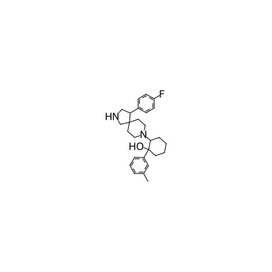 Cc1cccc(C2(O)CCCCC2N2CCC3(CC2)CNCC3c2ccc(F)cc2)c1